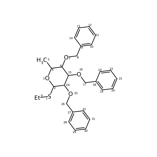 CCSC1OC(C)C(OCc2ccccc2)C(OCc2ccccc2)C1OCc1ccccc1